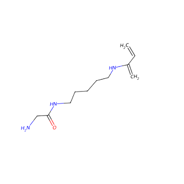 C=CC(=C)NCCCCCNC(=O)CN